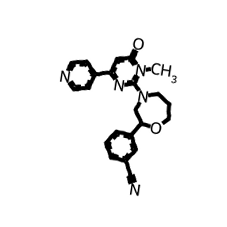 Cn1c(N2CCCOC(c3cccc(C#N)c3)C2)nc(-c2ccncc2)cc1=O